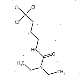 CCN(CC)C(=O)NCCC[Si](Cl)(Cl)Cl